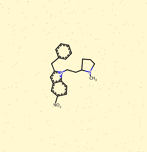 CN1CCCC1CCn1c(Cc2ccccc2)cc2cc([N+](=O)[O-])ccc21